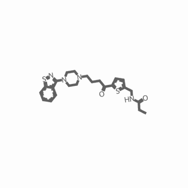 CCC(=O)NCc1ccc(C(=O)CCCN2CCN(c3nsc4ccccc34)CC2)s1